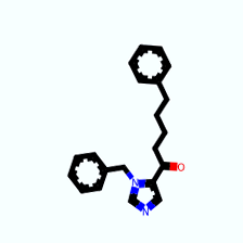 O=C(CCCCc1ccccc1)c1cncn1Cc1ccccc1